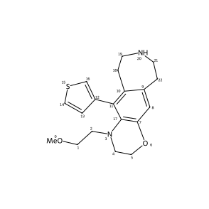 COCCN1CCOc2cc3c(c(-c4ccsc4)c21)CCNCC3